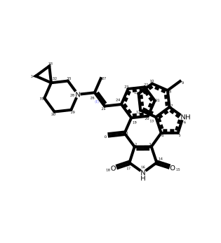 C=C(C1=C(c2c[nH]c3c(C)cccc23)C(=O)NC1=O)c1ccccc1/C=C(\C)N1CCCC2(CC2)C1